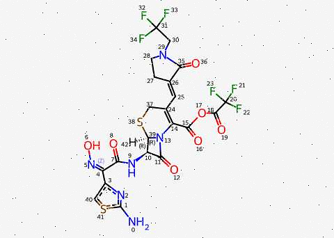 Nc1nc(/C(=N/O)C(=O)N[C@@H]2C(=O)N3C(C(=O)OC(=O)C(F)(F)F)=C(C=C4CCN(CC(F)(F)F)C4=O)CS[C@H]23)cs1